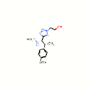 COc1ccc([C@H](C)[C@H](NC(=O)O)c2nnn(CCO)n2)cc1